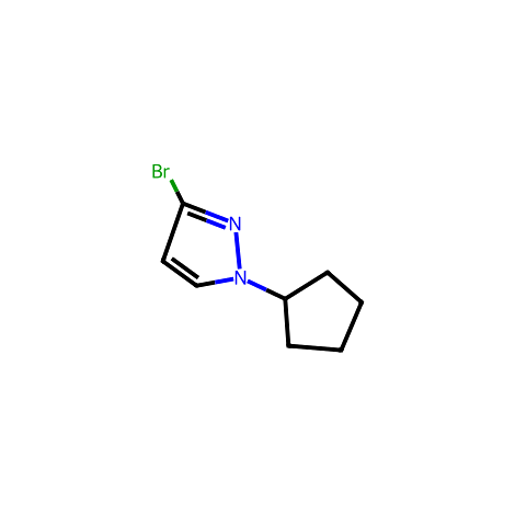 Brc1ccn(C2CCCC2)n1